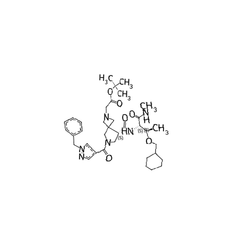 CNC(=O)[C@@H](NC(=O)[C@@H]1CN(C(=O)c2cnn(Cc3ccccc3)c2)CC12CN(CC(=O)OC(C)(C)C)C2)[C@@H](C)OCC1CCCCC1